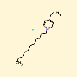 CCCCCCCCCCC[n+]1ccc(CC)cc1.[F-]